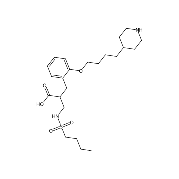 CCCCS(=O)(=O)NCC(Cc1ccccc1OCCCCC1CCNCC1)C(=O)O